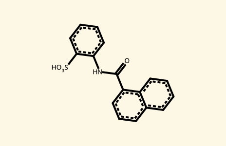 O=C(Nc1ccccc1S(=O)(=O)O)c1cccc2ccccc12